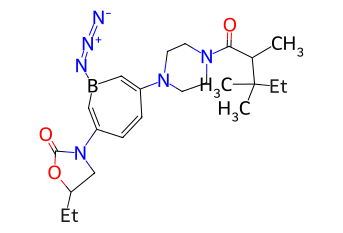 CCC1CN(C2=CB(N=[N+]=[N-])C=C(N3CCN(C(=O)C(C)C(C)(C)CC)CC3)C=C2)C(=O)O1